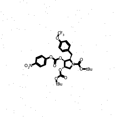 CC(C)(C)OC(=O)O[C@H]1CN(C(=O)OC(C)(C)C)[C@H](Cc2ccc(OC(F)(F)F)cc2)[C@@H]1OC(=O)Oc1ccc([N+](=O)[O-])cc1